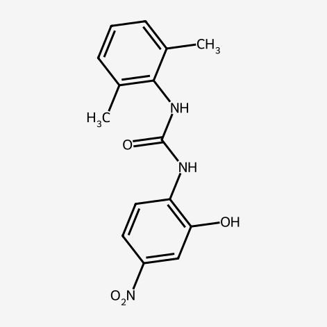 Cc1cccc(C)c1NC(=O)Nc1ccc([N+](=O)[O-])cc1O